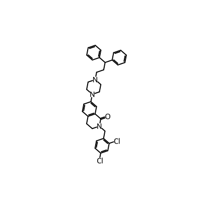 O=C1c2cc(N3CCN(CCC(c4ccccc4)c4ccccc4)CC3)ccc2CCN1Cc1ccc(Cl)cc1Cl